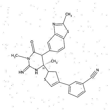 Cc1nc2cc(C3C(=O)N(C)C(=N)N[C@]3(C)C3CC(c4cccc(C#N)c4)=CS3)ccc2s1